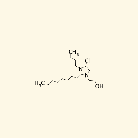 CCCCCCCCC1N(CCO)CC(Cl)N1CCCC